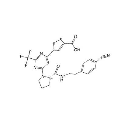 N#Cc1ccc(CCNC(=O)[C@@H]2CCCN2c2cc(-c3csc(C(=O)O)c3)nc(C(F)(F)F)n2)cc1